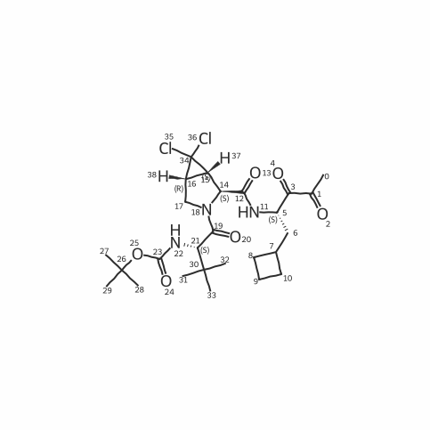 CC(=O)C(=O)[C@H](CC1CCC1)NC(=O)[C@@H]1[C@@H]2[C@H](CN1C(=O)[C@@H](NC(=O)OC(C)(C)C)C(C)(C)C)C2(Cl)Cl